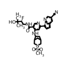 CC(C)(O)[C@H](F)CNC(=O)c1cnc(-c2ccc3cc(C#N)cnn23)cc1NC1CC2CC1CN(S(C)(=O)=O)C2